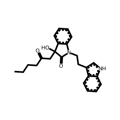 CCCCC(=O)CC1(O)C(=O)N(CCc2c[nH]c3ccccc23)c2ccccc21